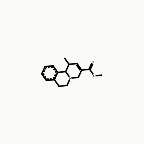 COC(=O)C1=CC(C)C2c3ccccc3CCN2C1